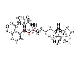 CN(C(=O)c1c(C=O)cccc1NCCCCCCCN[C@H]1CCCC1(C)C(C)(C)C)C1CCC(=O)NC1=O